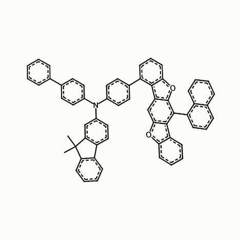 CC1(C)c2ccccc2-c2ccc(N(c3ccc(-c4ccccc4)cc3)c3ccc(-c4cccc5oc6c(-c7cccc8ccccc78)c7c(cc6c45)oc4ccccc47)cc3)cc21